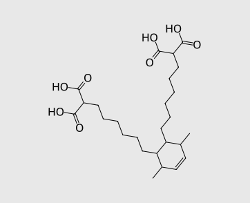 CC1C=CC(C)C(CCCCCCC(C(=O)O)C(=O)O)C1CCCCCCC(C(=O)O)C(=O)O